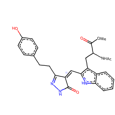 COC(=O)C(Cc1c(/C=C2\C(=O)NN=C2CCc2ccc(O)cc2)[nH]c2ccccc12)NC(C)=O